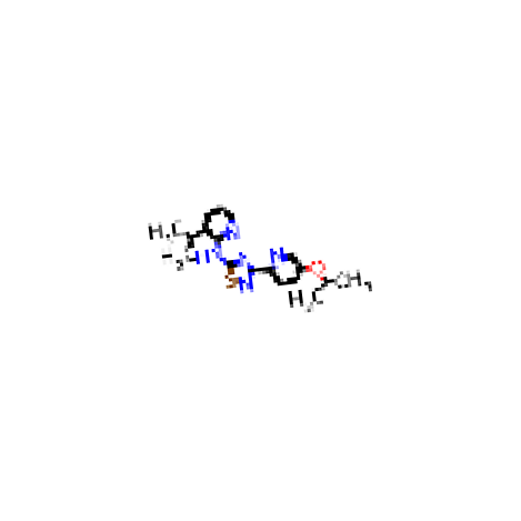 CC(C)Oc1ccc(-c2nsc(Nc3ncccc3C(C)C)n2)nc1